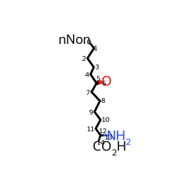 CCCCCCCCCCCCCC(=O)CCCCCC(N)C(=O)O